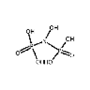 O=P(O)(O)N(O)P(=O)(O)O